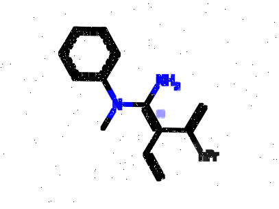 C=C/C(C(=C)CCC)=C(/N)N(C)c1ccccc1